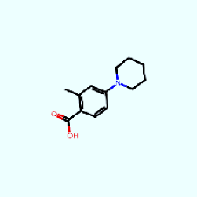 Cc1cc(N2CCCCC2)ccc1C(=O)O